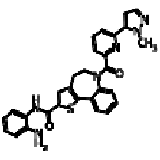 Cn1nccc1-c1cccc(C(=O)N2CCc3cc(C(=O)Nc4ccccc4N)sc3-c3ccccc32)n1